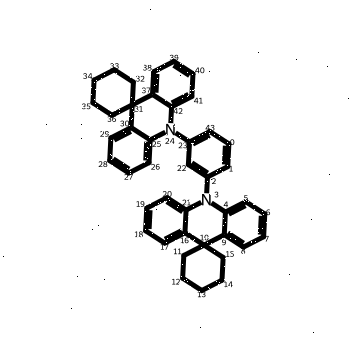 c1cc(N2c3ccccc3C3(CCCCC3)c3ccccc32)cc(N2c3ccccc3C3(CCCCC3)c3ccccc32)c1